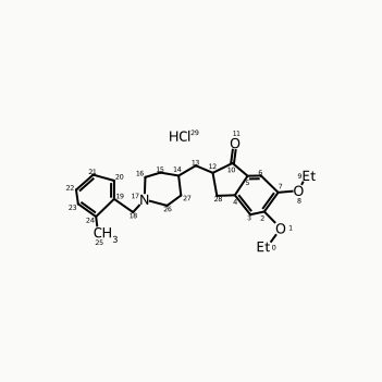 CCOc1cc2c(cc1OCC)C(=O)C(CC1CCN(Cc3ccccc3C)CC1)C2.Cl